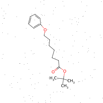 CC(C)(C)OC(=O)CCCCCCOc1ccccc1